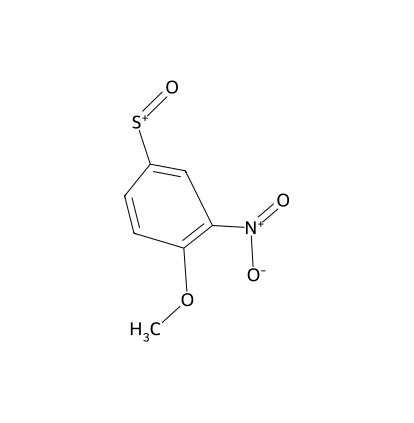 COc1ccc([S+]=O)cc1[N+](=O)[O-]